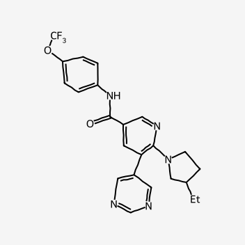 CCC1CCN(c2ncc(C(=O)Nc3ccc(OC(F)(F)F)cc3)cc2-c2cncnc2)C1